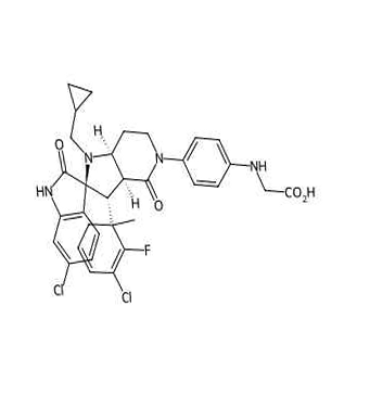 CC1([C@H]2[C@@H]3C(=O)N(c4ccc(NCC(=O)O)cc4)CC[C@@H]3N(CC3CC3)[C@@]23C(=O)Nc2cc(Cl)ccc23)CC=CC(Cl)=C1F